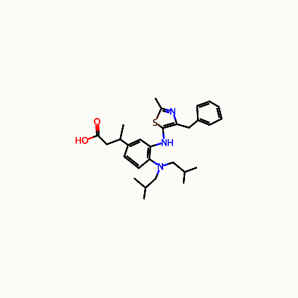 Cc1nc(Cc2ccccc2)c(Nc2cc(C(C)CC(=O)O)ccc2N(CC(C)C)CC(C)C)s1